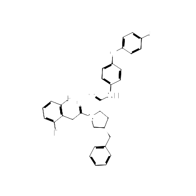 O=C(Nc1ccc(Oc2ccc(F)cc2)cc1)[C@@H]1C[C@@H](Cc2ccccc2)CN1C(=O)Cc1c(F)cccc1F